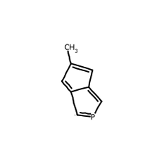 CC1=CC2=CP=[C]C2=C1